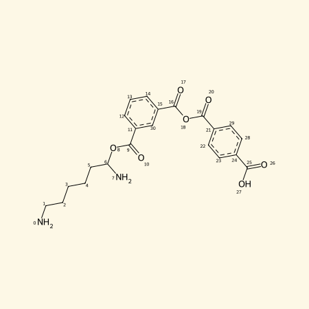 NCCCCCC(N)OC(=O)c1cccc(C(=O)OC(=O)c2ccc(C(=O)O)cc2)c1